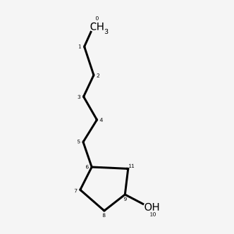 CCCCCCC1CCC(O)C1